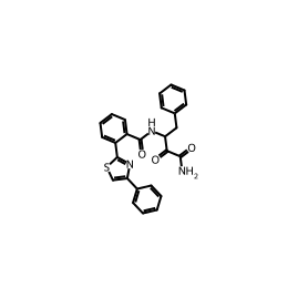 NC(=O)C(=O)C(Cc1ccccc1)NC(=O)c1ccccc1-c1nc(-c2ccccc2)cs1